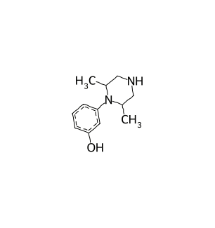 CC1CNCC(C)N1c1cccc(O)c1